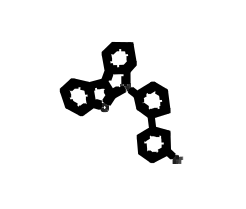 Brc1cccc(-c2cccc(-n3c4ccccc4c4c5ccccc5oc43)c2)c1